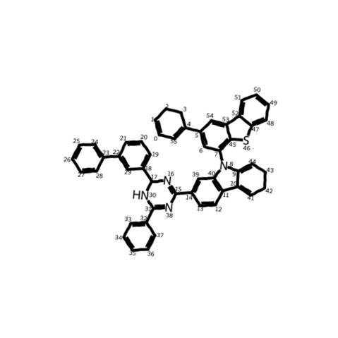 C1=CCCC(c2cc(-n3c4c(c5ccc(C6=NC(c7cccc(-c8ccccc8)c7)NC(c7ccccc7)=N6)cc53)=CCCC=4)c3sc4ccccc4c3c2)=C1